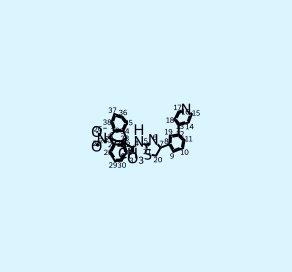 CC1(C(=O)NC2=NC(c3cccc(-c4ccncc4)c3)CS2)CC2([N+](=O)[O-])c3ccccc3C1c1ccccc12